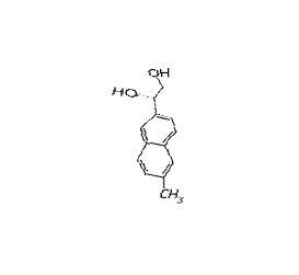 Cc1ccc2cc([C@H](O)CO)ccc2c1